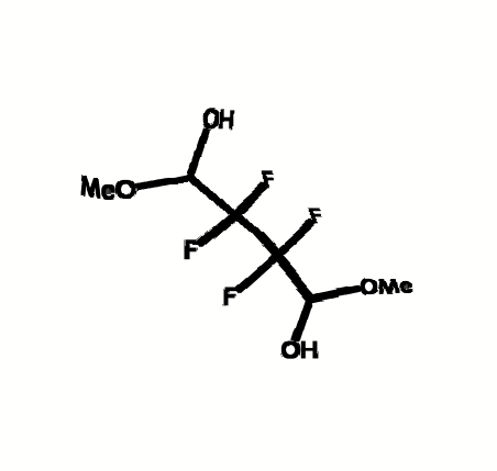 COC(O)C(F)(F)C(F)(F)C(O)OC